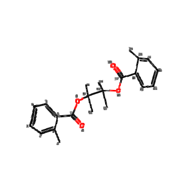 Cc1ccccc1C(=O)OC(C)(C)C(C)(C)OC(=O)c1ccccc1C